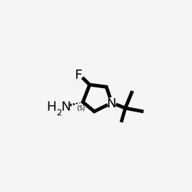 CC(C)(C)N1CC(F)[C@@H](N)C1